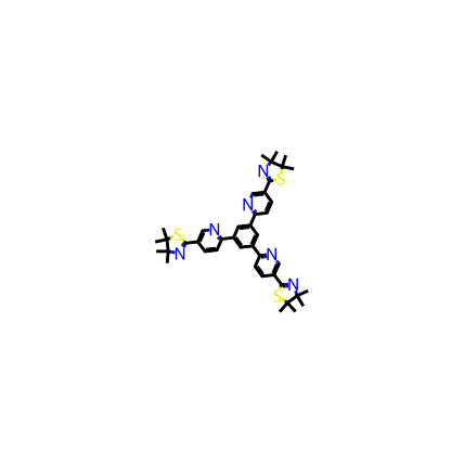 CC1(C)N=C(c2ccc(-c3cc(-c4ccc(C5=NC(C)(C)C(C)(C)S5)cn4)cc(-c4ccc(C5=NC(C)(C)C(C)(C)S5)cn4)c3)nc2)SC1(C)C